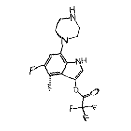 O=C(Oc1c[nH]c2c(N3CCNCC3)cc(F)c(F)c12)C(F)(F)F